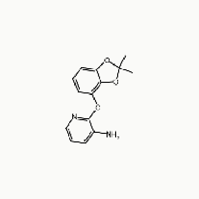 CC1(C)Oc2cccc(Oc3ncccc3N)c2O1